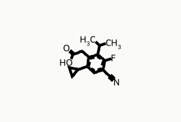 CC(C)c1c(F)c(C#N)cc(C2CC2)c1CC(=O)O